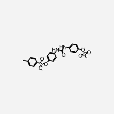 Cc1ccc(S(=O)(=O)Oc2ccc(NC(=O)Nc3ccc(OS(C)(=O)=O)cc3)cc2)cc1